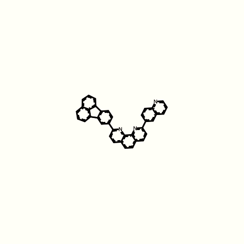 c1cnc2ccc(-c3ccc4ccc5ccc(-c6ccc7c(c6)-c6cccc8cccc-7c68)nc5c4n3)cc2c1